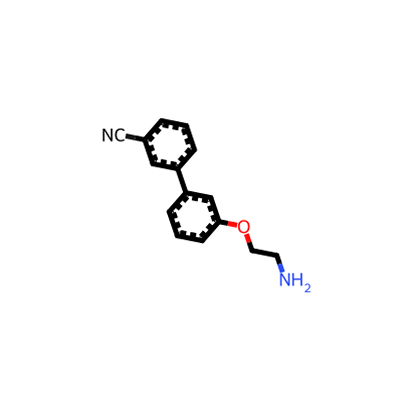 N#Cc1cccc(-c2cccc(OCCN)c2)c1